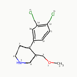 COCC1CNCCC1c1ccc(Cl)c(Cl)c1